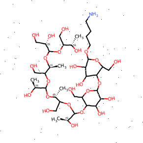 C[C@H](O)C(CO)OC(O[C@@H](C)C(CO)OC(O[C@H](C)C(CO)OC(OC1C(CO)OC(OC2C(CO)OC(OCCCCN)C(O)C2O)C(O)C1O)[C@H](C)O)[C@H](C)O)[C@@H](O)CO